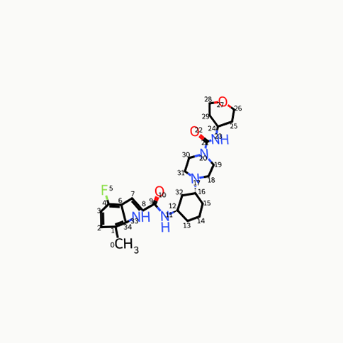 Cc1ccc(F)c2cc(C(=O)N[C@@H]3CCC[C@@H](N4CCN(C(=O)NC5CCOCC5)CC4)C3)[nH]c12